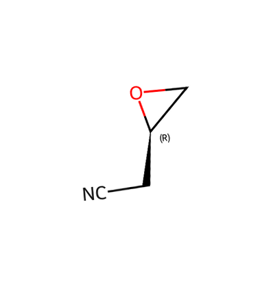 N#CC[C@@H]1CO1